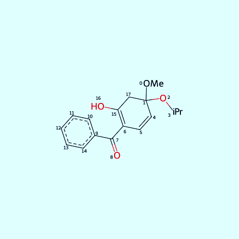 COC1(OC(C)C)C=CC(C(=O)c2ccccc2)=C(O)C1